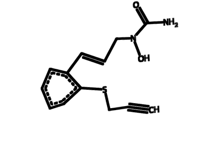 C#CCSc1ccccc1C=CCN(O)C(N)=O